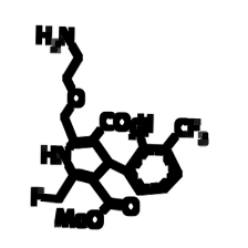 COC(=O)C1=C(CF)NC(COCCN)=C(C(=O)O)C1c1cccc(C(F)(F)F)c1Cl